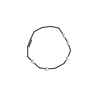 [CH]1C=CCCCCCCCCCCCCC1